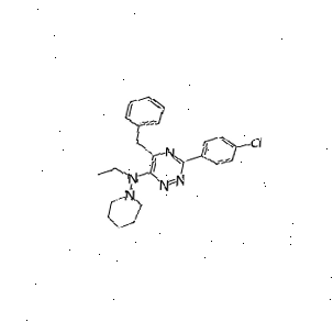 CCN(c1nnc(-c2ccc(Cl)cc2)nc1Cc1ccccc1)N1CCCCC1